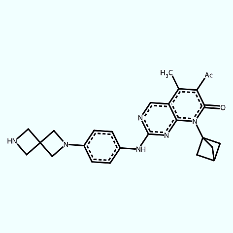 CC(=O)c1c(C)c2cnc(Nc3ccc(N4CC5(CNC5)C4)cc3)nc2n(C23CC(C2)C3)c1=O